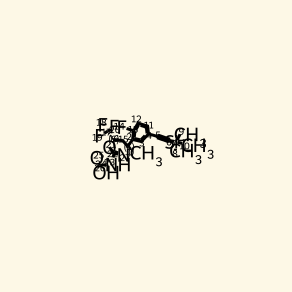 C[C@@]1(c2cc(C#C[Si](C)(C)C)ccc2F)C[C@@H](C(F)(F)F)OC(NC(=O)O)=N1